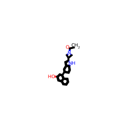 C=CC(=O)N1CC(c2cc3cc(-c4cc(O)cc5ccccc45)ccc3[nH]2)C1